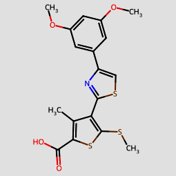 COc1cc(OC)cc(-c2csc(-c3c(SC)sc(C(=O)O)c3C)n2)c1